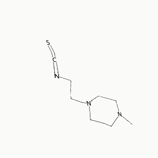 CN1CCN(CCN=C=S)CC1